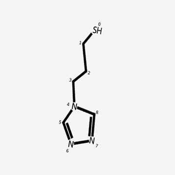 SCCCn1cnnc1